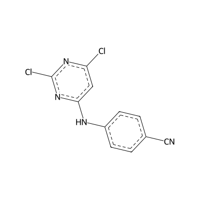 N#Cc1ccc(Nc2cc(Cl)nc(Cl)n2)cc1